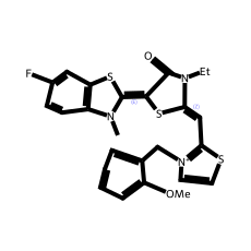 CCn1c(=O)/c(=C2\Sc3cc(F)ccc3N2C)s/c1=C\c1scc[n+]1Cc1ccccc1OC